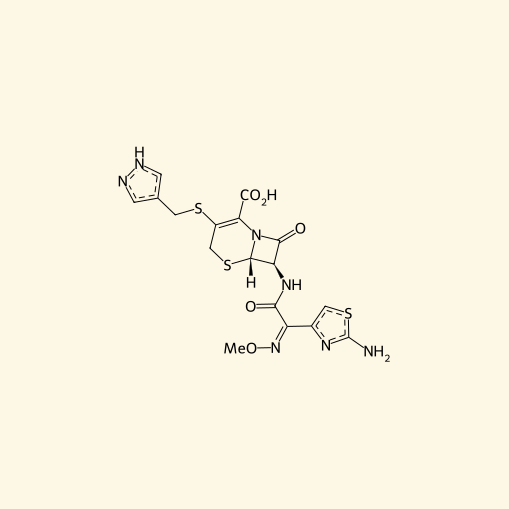 CO/N=C(\C(=O)N[C@@H]1C(=O)N2C(C(=O)O)=C(SCc3cn[nH]c3)CS[C@@H]12)c1csc(N)n1